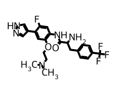 CN(C)CCOc1cc(-c2cn[nH]c2)c(F)cc1NC(=O)C(N)Cc1ccc(C(F)(F)F)cc1